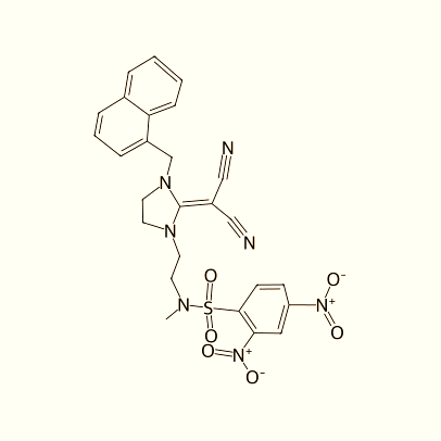 CN(CCN1CCN(Cc2cccc3ccccc23)C1=C(C#N)C#N)S(=O)(=O)c1ccc([N+](=O)[O-])cc1[N+](=O)[O-]